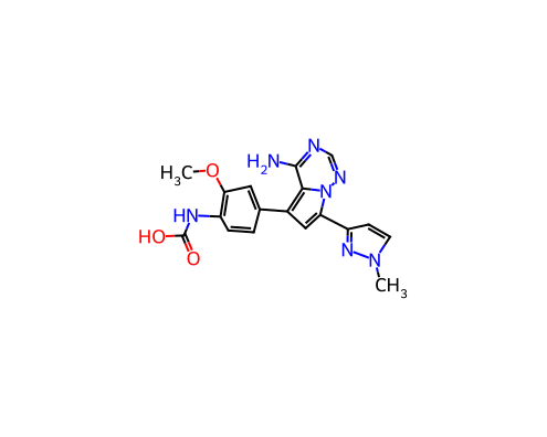 COc1cc(-c2cc(-c3ccn(C)n3)n3ncnc(N)c23)ccc1NC(=O)O